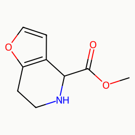 COC(=O)C1NCCc2occc21